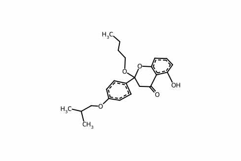 CCCCOC1(c2ccc(OCC(C)C)cc2)CC(=O)c2c(O)cccc2O1